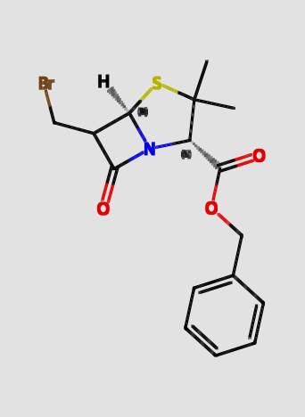 CC1(C)S[C@@H]2C(CBr)C(=O)N2[C@H]1C(=O)OCc1ccccc1